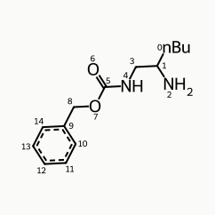 CCCCC(N)CNC(=O)OCc1ccccc1